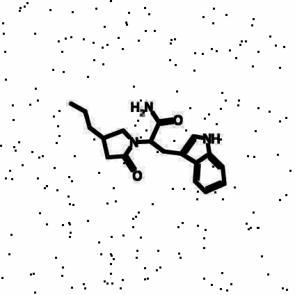 CCCC1CC(=O)N(C(Cc2c[nH]c3ccccc23)C(N)=O)C1